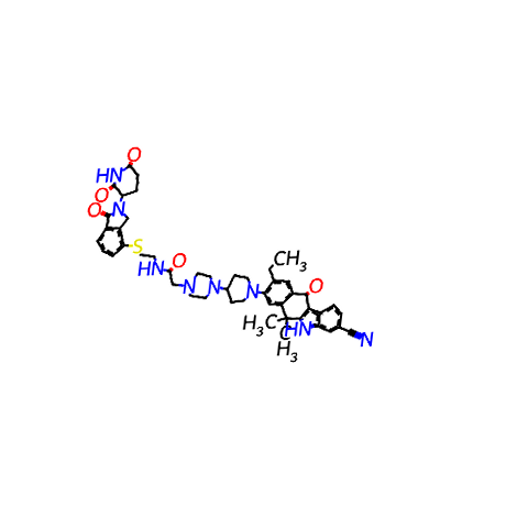 CCc1cc2c(cc1N1CCC(N3CCN(CC(=O)NCCSc4cccc5c4CN(C4CCC(=O)NC4=O)C5=O)CC3)CC1)C(C)(C)c1[nH]c3cc(C#N)ccc3c1C2=O